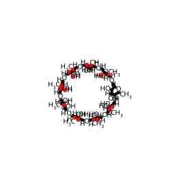 CC1O[C@@H]2O[C@@H]3C(C)O[C@H](O[C@@H]4C(C)O[C@H](O[C@@H]5C(C)O[C@@H](O[C@@H]6C(C)O[C@@H](O[C@@H]7C(C)O[C@H](O[C@@H]8C(C)O[C@@H](O[C@@H]9C(C)O[C@H](O[C@@H]%10C(C)O[C@H](O[C@H]1[C@H](O)C2O)C(O)[C@H]%10O)C(O)[C@H]9O)C(O)[C@H]8O)C(O)[C@H]7O)C(O)[C@H]6O)C(O)[C@H]5O)C(O)[C@H]4O)C(O)[C@H]3O